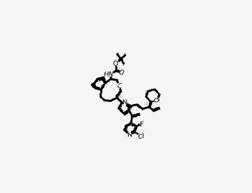 C=C/C(CCc1nc(/C2=C/CCC(NC(=O)OC(C)(C)C)c3ccccc3CCC2)ccc1C(=C)c1ccnc(Cl)c1F)=C1/CCCCO1